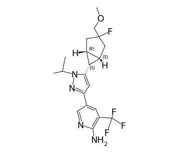 COCC1(F)C[C@@H]2[C@H](C1)[C@@H]2c1cc(-c2cnc(N)c(C(F)(F)F)c2)nn1C(C)C